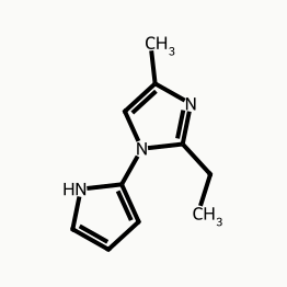 CCc1nc(C)cn1-c1ccc[nH]1